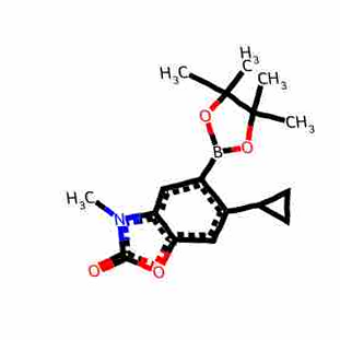 Cn1c(=O)oc2cc(C3CC3)c(B3OC(C)(C)C(C)(C)O3)cc21